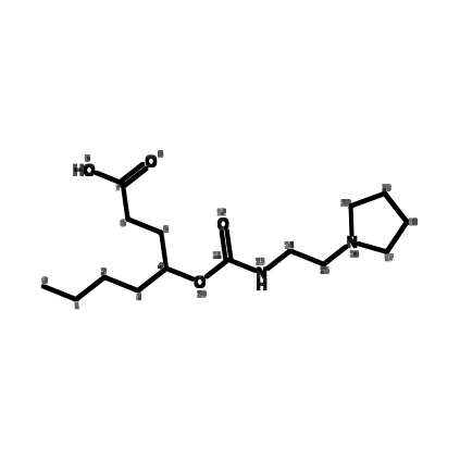 CCCCC(CCC(=O)O)OC(=O)NCCN1CCCC1